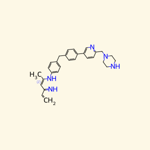 C=CC(=N)/C=C(/C)Nc1ccc(Cc2ccc(-c3ccc(CN4CCNCC4)nc3)cc2)cc1